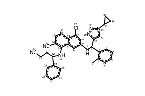 Cc1ncccc1C(Nc1cc(Cl)c2ncc(C#N)c(NC(CCC#N)c3ccccc3)c2c1)c1cn(C2CC2)nn1